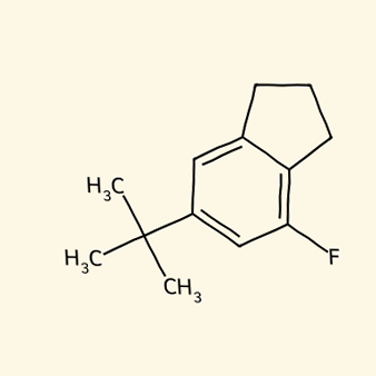 CC(C)(C)c1cc(F)c2c(c1)CCC2